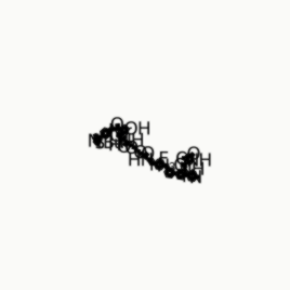 Cc1ncsc1-c1ccc(CNC(=O)[C@@H]2C[C@@H](O)CN2C(=O)[C@@H](NC(=O)COCCOCC(=O)NCCN2CCN(Cc3cccc(-c4ccc(N5CCN(C)CC5)c(NC(=O)c5c[nH]c(=O)cc5C(F)(F)F)c4)c3)CC2)C(C)(C)C)cc1